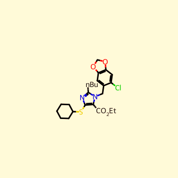 CCCCc1nc(SC2CCCCC2)c(C(=O)OCC)n1Cc1cc2c(cc1Cl)OCO2